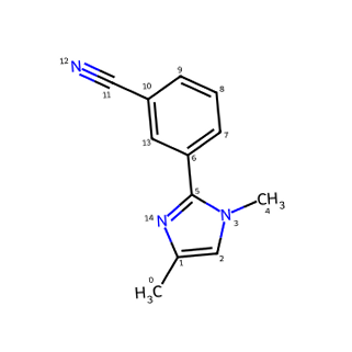 Cc1cn(C)c(-c2cccc(C#N)c2)n1